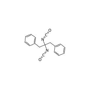 O=C=NC(Cc1ccccc1)(Cc1ccccc1)N=C=O